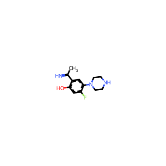 CC(=N)c1cc(N2CCNCC2)c(F)cc1O